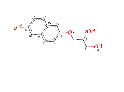 OCC(O)COc1ccc2cc(Br)ccc2c1